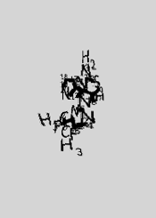 CC(C)(F)c1nc(N2C[C@H]3CSC(N)=NC3(c3cccnc3)C2)ncc1F